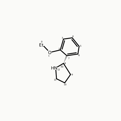 CCOc1ccccc1[C@@H]1CCCN1